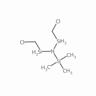 C[Si](C)(C)N([SiH2]CCl)[SiH2]CCl